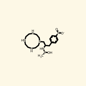 CB(O)NC(Cc1ccc([N+](=O)[O-])cc1)CN1CCNCCNCCNCC1